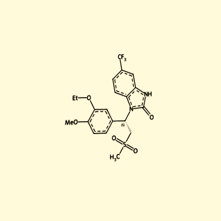 CCOc1cc([C@@H](CS(C)(=O)=O)n2c(=O)[nH]c3cc(C(F)(F)F)ccc32)ccc1OC